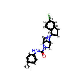 O=C(Nc1ccc(C(F)(F)F)cc1)N1CC2CC1CN2C1CCc2cc(F)ccc21